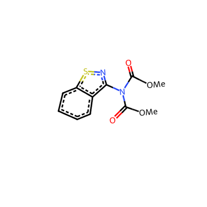 COC(=O)N(C(=O)OC)c1nsc2ccccc12